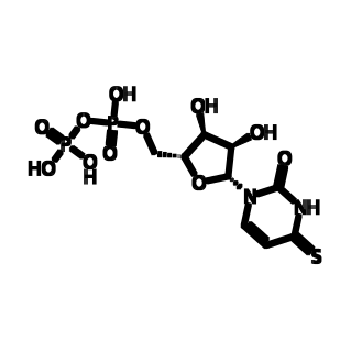 O=c1[nH]c(=S)ccn1[C@@H]1O[C@H](COP(=O)(O)OP(=O)(O)O)[C@@H](O)[C@H]1O